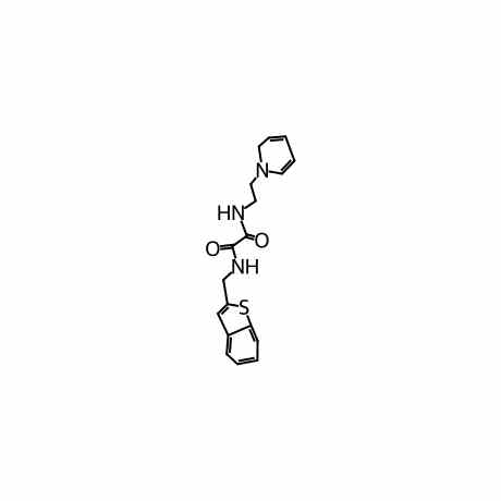 O=C(NCCN1C=CC=CC1)C(=O)NCc1cc2ccccc2s1